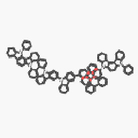 c1ccc(-n2c3ccccc3c3c4c5ccccc5n(-c5ccc6c(c5)c5ccc(-c7ccc8c(c7)c7ccccc7n8-c7ccc8c(c7)c7ccccc7n8-c7ccccc7-c7ccccc7-n7c8ccccc8c8c7ccc7c9ccccc9n(-c9ccccc9)c78)cc5n6-c5ccccc5-c5ccccc5-n5c6ccccc6c6ccccc65)c4ccc32)cc1